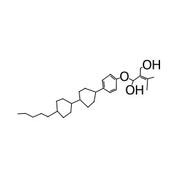 CCCCCC1CCC(C2CCC(c3ccc(OC(O)C(CO)=C(C)C)cc3)CC2)CC1